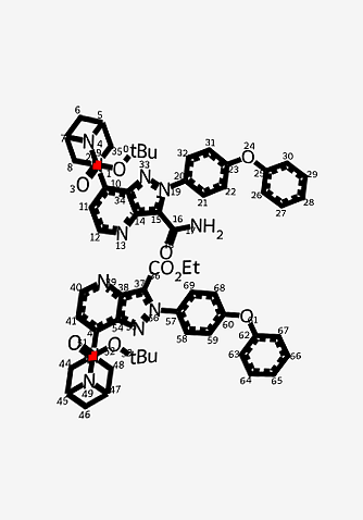 CC(C)(C)OC(=O)N1C2CC1CN(c1ccnc3c(C(N)=O)n(-c4ccc(Oc5ccccc5)cc4)nc13)C2.CCOC(=O)c1c2nccc(N3CC4CC(C3)N4C(=O)OC(C)(C)C)c2nn1-c1ccc(Oc2ccccc2)cc1